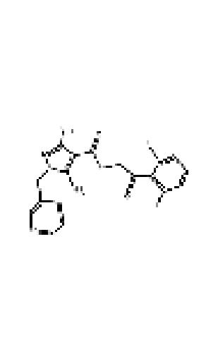 Cc1nn(Cc2ccccc2)c(N)c1C(=O)OCC(=O)c1c(F)cccc1F